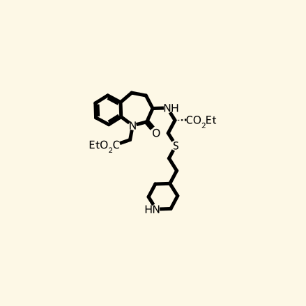 CCOC(=O)CN1C(=O)C(N[C@@H](CSCCC2CCNCC2)C(=O)OCC)CCc2ccccc21